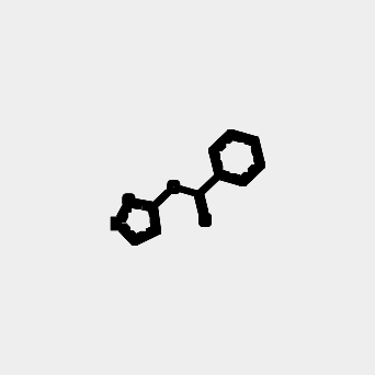 O=C(Oc1ccno1)c1ccccc1